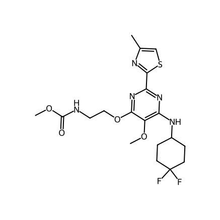 COC(=O)NCCOc1nc(-c2nc(C)cs2)nc(NC2CCC(F)(F)CC2)c1OC